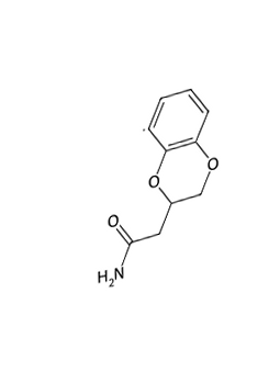 NC(=O)CC1COc2ccc[c]c2O1